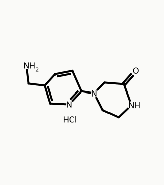 Cl.NCc1ccc(N2CCNC(=O)C2)nc1